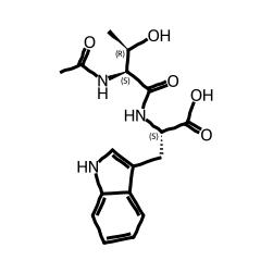 CC(=O)N[C@H](C(=O)N[C@@H](Cc1c[nH]c2ccccc12)C(=O)O)[C@@H](C)O